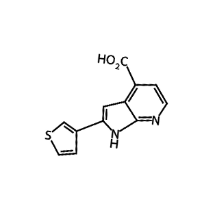 O=C(O)c1ccnc2[nH]c(-c3ccsc3)cc12